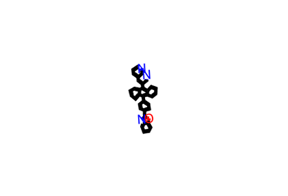 c1cnc2ncc(-c3c4ccccc4c(-c4ccc(-c5nc6ccccc6o5)cc4)c4ccccc34)cc2c1